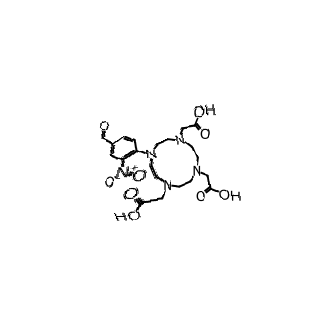 O=Cc1ccc(N2CCN(CC(=O)O)CCN(CC(=O)O)CCN(CC(=O)O)CC2)c([N+](=O)[O-])c1